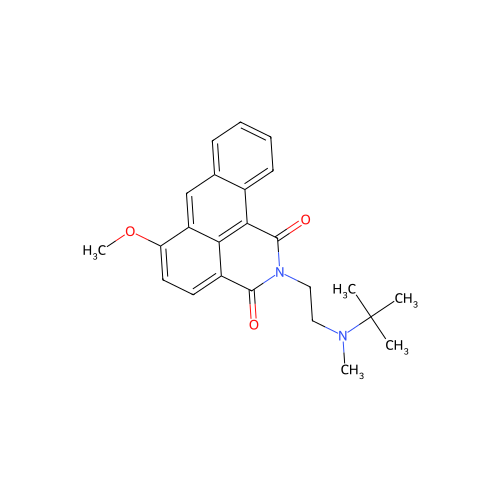 COc1ccc2c3c(c4ccccc4cc13)C(=O)N(CCN(C)C(C)(C)C)C2=O